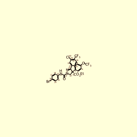 CCOC(=O)C1(c2ccc(OC(F)(F)F)cc2)CN(C(=O)Nc2ccc(Br)cc2)N=C1c1ccc(C(F)(F)F)c(Cl)c1